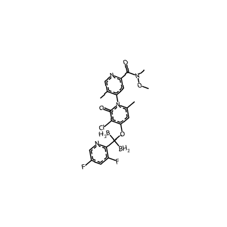 BC(B)(Oc1cc(C)n(-c2cc(C(=O)N(C)OC)ncc2C)c(=O)c1Cl)c1ncc(F)cc1F